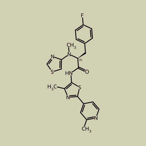 Cc1cc(-c2nc(C)c(NC(=O)[C@H](Cc3ccc(F)cc3)N(C)c3cscn3)s2)ccn1